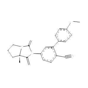 COc1ccc(-c2cc(N3C(=O)[C@@H]4[C@H](O)CCN4C3=O)ccc2C#N)cc1